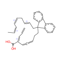 C=C/C=C(\C=C=CCCC1(C/C=C/C/C=C\C=C/C)c2ccccc2-c2ccccc21)B(O)O